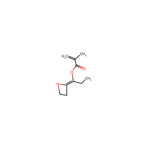 C=C(C)C(=O)OC(CC)=C1CCO1